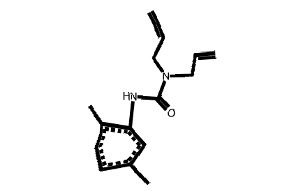 C=CCN(CC=C)C(=O)Nc1cc(C)ccc1C